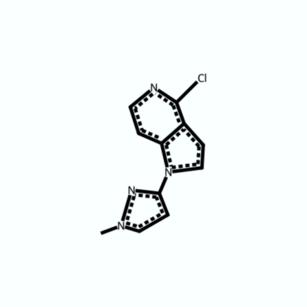 Cn1ccc(-n2ccc3c(Cl)nccc32)n1